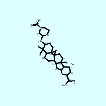 CC(C)C(=O)N1CCOC(OC2CCC34CC35CCC3(C)C6C(C[C@@]3(C)C5CCC4C2(C)C)OC(C(O)C(C)C)C[C@H]6C)C1